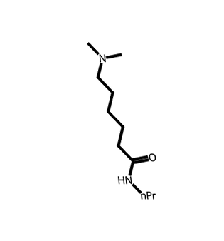 CCCNC(=O)CCCCCN(C)C